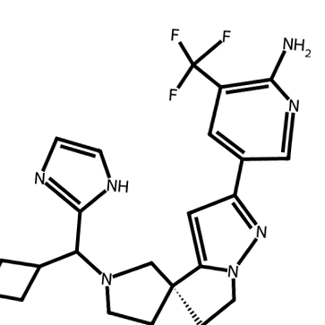 Nc1ncc(-c2cc3n(n2)CC[C@@]32CCN(C(c3ncc[nH]3)C3CCC3)C2)cc1C(F)(F)F